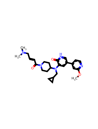 COc1cc(-c2c[nH]c(=O)c(N(CC3CC3)C3CCN(C(=O)C=CCN(C)C)CC3)c2)ccn1